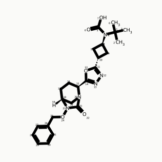 CC(C)(C)N(C(=O)O)[C@H]1C[C@H](c2nnc([C@@H]3CC[C@@H]4CN3C(=O)N4OCc3ccccc3)o2)C1